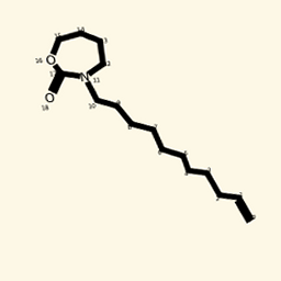 C=CCCCCCCCCCN1CCCCOC1=O